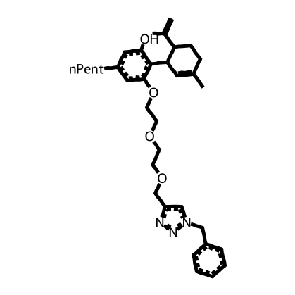 C=C(C)C1CCC(C)=CC1c1c(O)cc(CCCCC)cc1OCCOCCOCc1cn(Cc2ccccc2)nn1